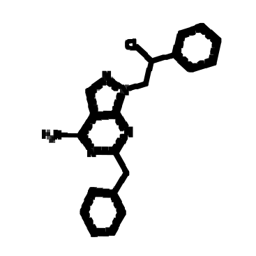 Nc1nc(Cc2ccccc2)nc2c1cnn2CC(Cl)c1ccccc1